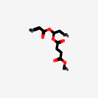 C=CC(=O)OC(CC)OC(=O)CCC(=O)OC